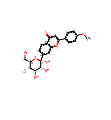 COc1ccc(-c2cc(=O)c3ccc([C@]4(O)O[C@H](CO)[C@@H](O)[C@H](O)[C@H]4O)cc3o2)cc1